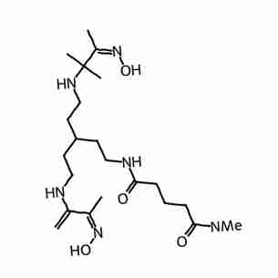 C=C(NCCC(CCNC(=O)CCCC(=O)NC)CCNC(C)(C)/C(C)=N\O)/C(C)=N\O